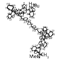 CC[C@@H](C)C(=O)N[C@H](C(=O)N1CCCC1C(=O)N[C@H](C(=O)NCCCOCCOCCOCCCNC(=O)[C@@H](NC(=O)C1CCCN1C(=O)[C@@H](CC(=O)[C@@H](C)NC)C1CCCCC1)C(c1ccccc1)c1ccccc1)C(c1ccccc1)c1ccccc1)C1CCCCC1